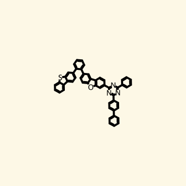 c1ccc(-c2ccc(-c3nc(-c4ccccc4)nc(-c4ccc5c(c4)oc4ccc(-c6ccccc6-c6ccc7c(c6)sc6ccccc67)cc45)n3)cc2)cc1